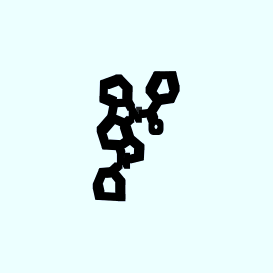 O=C(c1ccccc1)n1c2ccccc2c2ccc3c(ccn3-c3ccccc3)c21